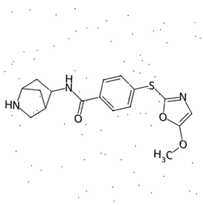 COc1cnc(Sc2ccc(C(=O)NC3CC4CC3CN4)cc2)o1